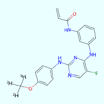 [2H]C([2H])([2H])Oc1ccc(Nc2ncc(F)c(Nc3cccc(NC(=O)C=C)c3)n2)cc1